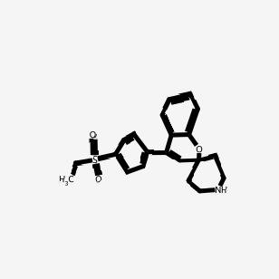 CCS(=O)(=O)c1ccc(C2=CC3(CCNCC3)Oc3ccccc32)cc1